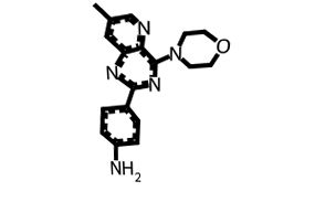 Cc1cnc2c(N3CCOCC3)nc(-c3ccc(N)cc3)nc2c1